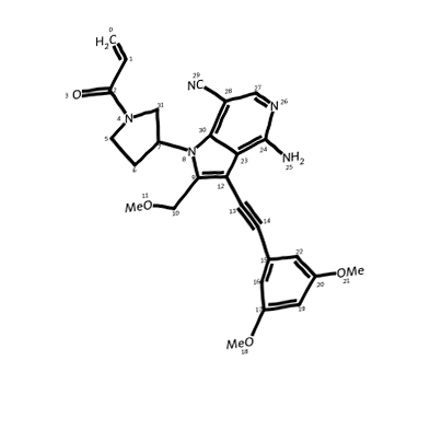 C=CC(=O)N1CCC(n2c(COC)c(C#Cc3cc(OC)cc(OC)c3)c3c(N)ncc(C#N)c32)C1